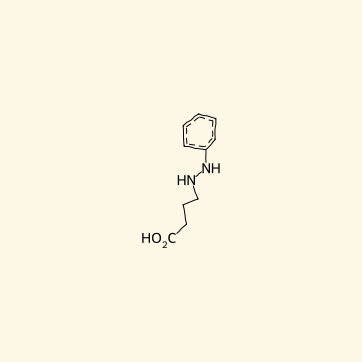 O=C(O)CCCNNc1ccccc1